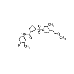 COCCC1CCN(S(=O)(=O)c2cccc(C(=O)Nc3ccc(F)c(C)c3)c2)CC1C